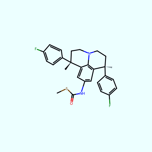 CSC(=O)Nc1cc2c3c(c1)[C@](C)(c1ccc(F)cc1)CCN3CC[C@@]2(C)c1ccc(F)cc1